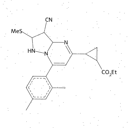 CCOC(=O)C1CC1C1=NC2C(C#N)C(SC)NN2C(c2ccc(C)cc2C)=C1